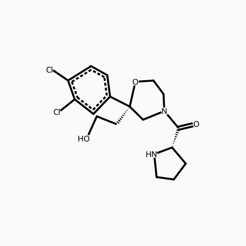 O=C([C@@H]1CCCN1)N1CCO[C@](CCO)(c2ccc(Cl)c(Cl)c2)C1